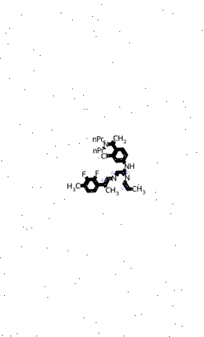 C=C(c1ccc(NC(/C=N/C=C(\C)C2=C(F)C(F)=C(C)CC2)=N/C=C\C)cc1Cl)N(CCC)CCC